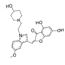 COc1ccc2c(c1)c(C=C1Oc3cc(O)cc(O)c3C1=O)cn2CCN1CCC(O)CC1